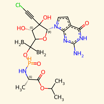 BC(B)(O[PH](=O)N[C@@H](C)C(=O)OC(C)C)C1O[C@@H](n2ccc3c(=O)[nH]c(N)nc32)C(O)(C#CCl)[C@H]1O